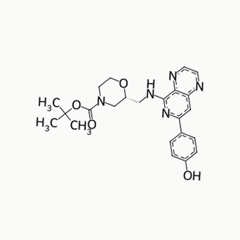 CC(C)(C)OC(=O)N1CCO[C@H](CNc2nc(-c3ccc(O)cc3)cc3nccnc23)C1